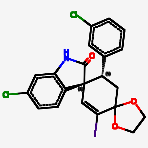 O=C1Nc2cc(Cl)ccc2[C@@]12C=C(I)C1(C[C@H]2c2cccc(Cl)c2)OCCO1